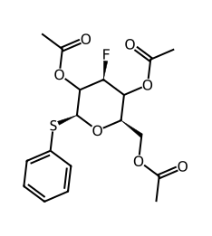 CC(=O)OC[C@H]1O[C@@H](Sc2ccccc2)C(OC(C)=O)[C@@H](F)C1OC(C)=O